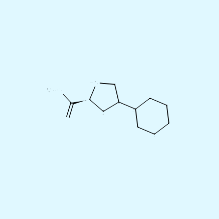 COC(=O)[C@@H]1CC(C2CCCCC2)CN1